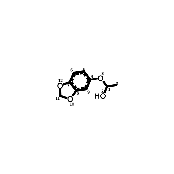 CC(O)Oc1ccc2c(c1)OCO2